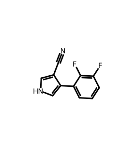 N#Cc1c[nH]cc1-c1cccc(F)c1F